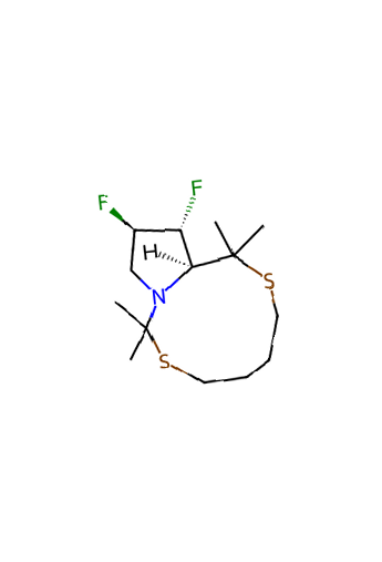 CC1(C)SCCCCSC(C)(C)N2C[C@@H](F)[C@H](F)[C@H]21